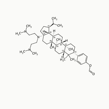 CC(C)[C@@H]1CC[C@]2(N(CCN(C)C)CCN(C)C)CC[C@]3(C)[C@H](CC[C@@H]4[C@@]5(C)CC[C@H](c6ccc(OC=O)cc6)C(C)(C)[C@@H]5CC[C@]43C)[C@@H]12